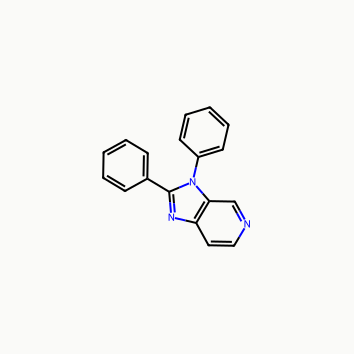 c1ccc(-c2nc3ccncc3n2-c2ccccc2)cc1